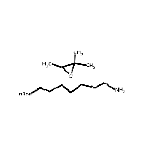 CC1OC1(C)C.CCCCCCCCCCCCCCCCN